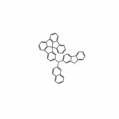 c1ccc2c(c1)-c1cccc3c1C21c2cc(N(c4ccc5ccccc5c4)c4ccc5c(c4)sc4ccccc45)ccc2-c2cccc-3c21